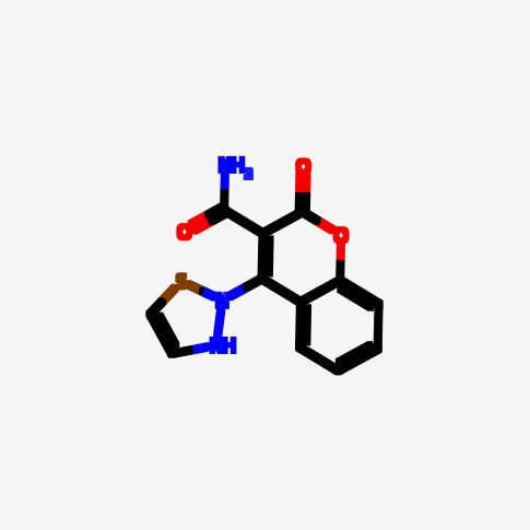 NC(=O)c1c(N2NC=CS2)c2ccccc2oc1=O